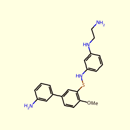 COc1ccc(-c2cccc(N)c2)cc1SNc1cccc(NCCN)c1